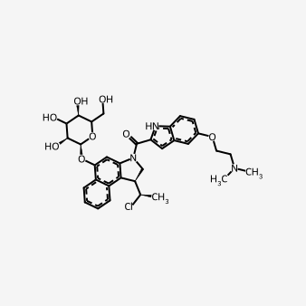 C[C@@H](Cl)[C@@H]1CN(C(=O)c2cc3cc(OCCN(C)C)ccc3[nH]2)c2cc(O[C@@H]3OC(CO)[C@H](O)C(O)[C@@H]3O)c3ccccc3c21